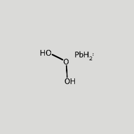 OOO.[PbH2]